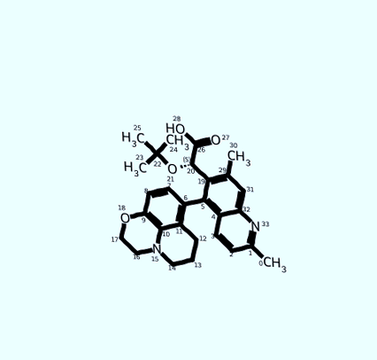 Cc1ccc2c(-c3ccc4c5c3CCCN5CCO4)c([C@H](OC(C)(C)C)C(=O)O)c(C)cc2n1